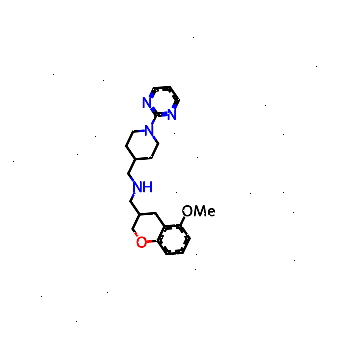 COc1cccc2c1CC(CNCC1CCN(c3ncccn3)CC1)CO2